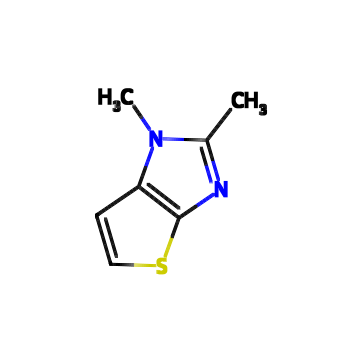 Cc1nc2sccc2n1C